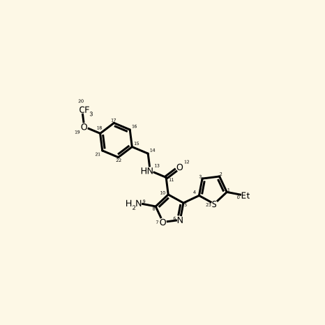 CCc1ccc(-c2noc(N)c2C(=O)NCc2ccc(OC(F)(F)F)cc2)s1